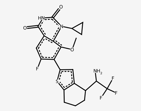 COc1c(-c2cc3c(s2)CCCC3C(N)C(F)(F)F)c(F)cc2c(=O)[nH]c(=O)n(C3CC3)c12